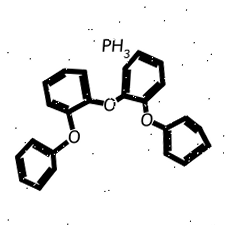 P.c1ccc(Oc2ccccc2Oc2ccccc2Oc2ccccc2)cc1